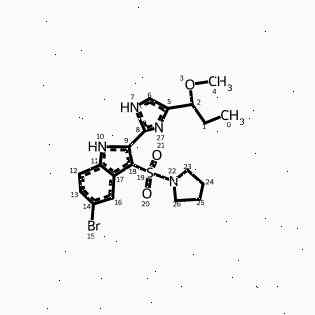 CCC(OC)c1c[nH]c(-c2[nH]c3ccc(Br)cc3c2S(=O)(=O)N2CCCC2)n1